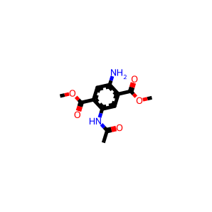 COC(=O)c1cc(NC(C)=O)c(C(=O)OC)cc1N